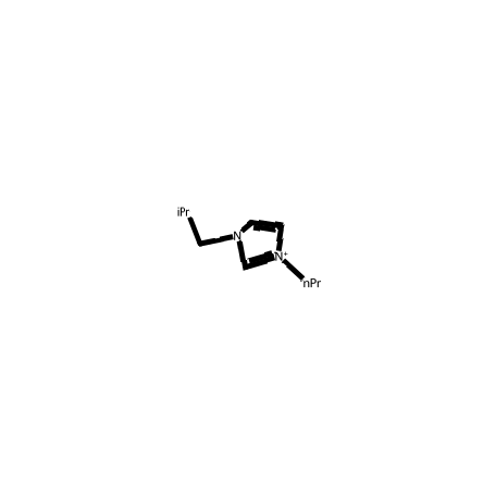 CCC[n+]1ccn(CC(C)C)c1